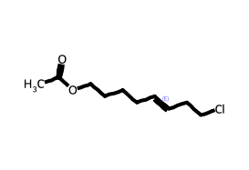 CC(=O)OCCCC/C=C/CCCl